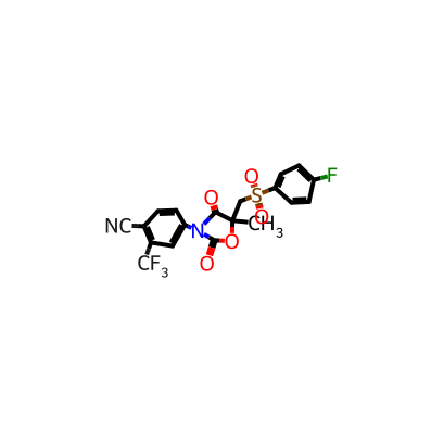 CC1(CS(=O)(=O)c2ccc(F)cc2)OC(=O)N(c2ccc(C#N)c(C(F)(F)F)c2)C1=O